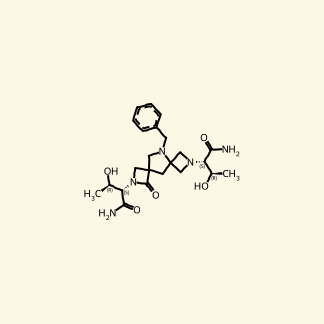 C[C@@H](O)[C@@H](C(N)=O)N1CC2(C1)CC1(CN([C@H](C(N)=O)[C@@H](C)O)C1=O)CN2Cc1ccccc1